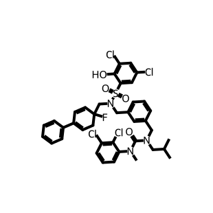 CC(C)CN(Cc1cccc(CN(CC2(F)C=CC(c3ccccc3)=CC2)S(=O)(=O)c2cc(Cl)cc(Cl)c2O)c1)C(=O)N(C)c1cccc(Cl)c1Cl